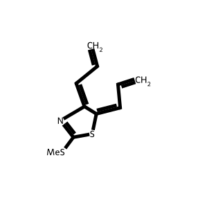 C=C/C=c1/nc(SC)s/c1=C/C=C